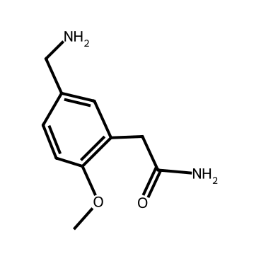 COc1ccc(CN)cc1CC(N)=O